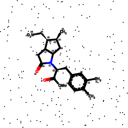 COC(=O)[C@H](Cc1ccc(C)c(C)c1)N1C(=O)CC2C1C[C@H](C)[C@H]2C[N+](=O)[O-]